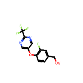 OCc1ccc(Oc2cnc(C(F)(F)F)nc2)c(F)c1